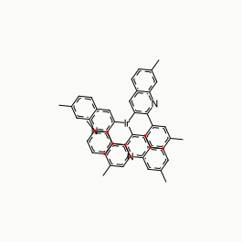 Cc1cccc(-c2nc3cc(C)ccc3c[c]2[Ir]([c]2cc3ccc(C)cc3nc2-c2cccc(C)c2)[c]2cc3ccc(C)cc3nc2-c2cccc(C)c2)c1